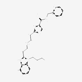 CCCCn1c(CCNCCc2nc(C(=O)NCc3ccccn3)co2)nc2ccccc21